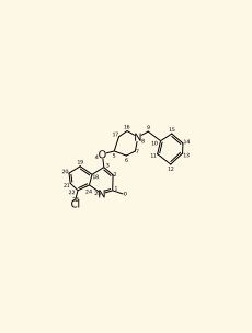 Cc1cc(OC2CCN(Cc3ccccc3)CC2)c2cccc(Cl)c2n1